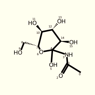 CC(=O)NC1(O)O[C@H](CO)[C@@H](O)[C@H](O)[C@H]1O